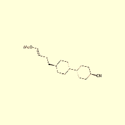 COC=CCC[C@H]1CC[C@H]([C@H]2CC[C@H](C#N)CC2)CC1